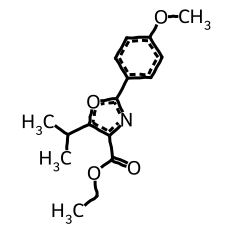 CCOC(=O)c1nc(-c2ccc(OC)cc2)oc1C(C)C